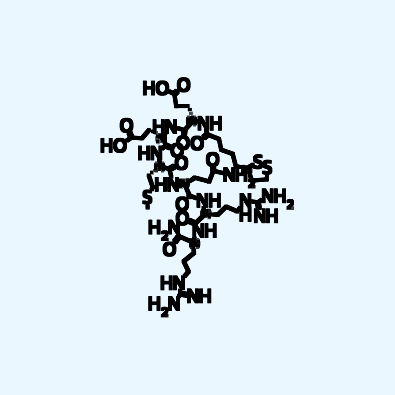 CSCC[C@H](NC(=O)[C@H](CCC(=O)O)NC(=O)[C@H](CCC(=O)O)NC(=O)CCCC[C@@H]1CCSS1)C(=O)N[C@@H](CCC(N)=O)C(=O)N[C@@H](CCCNC(=N)N)C(=O)N[C@@H](CCCNC(=N)N)C(N)=O